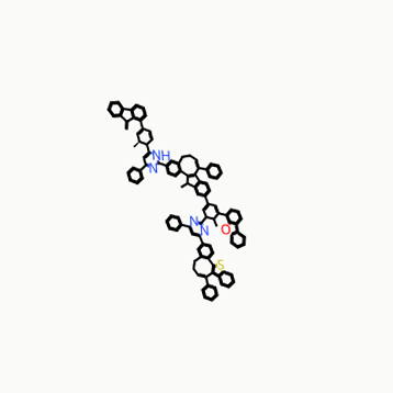 C=C1c2ccccc2-c2cccc(C3=C[C@H](C)C(C4=CC(c5ccccc5)=NC(c5ccc6c(c5)CC/C=C(/c5ccccc5)C5=C6C(C)c6cc(C7=CC(c8nc(-c9ccccc9)cc(-c9ccc%10c(c9)CC/C=C(/c9ccccc9)c9c-%10sc%10ccccc9%10)n8)C(C)C(c8cccc9c8oc8ccccc89)=C7)ccc65)N4)C=C3)c21